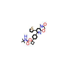 CN1C(=O)COc2nc(-c3ccc(C4(OC(=O)NC(C)(C)C)CCC4)cc3)c(-c3cccs3)cc21